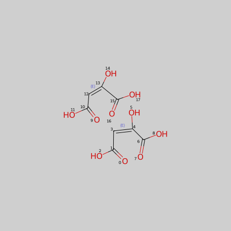 O=C(O)/C=C(/O)C(=O)O.O=C(O)/C=C(/O)C(=O)O